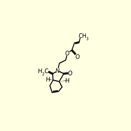 C=C1[C@@H]2CC=CC[C@@H]2C(=O)N1CCOC(=O)/C=C/C